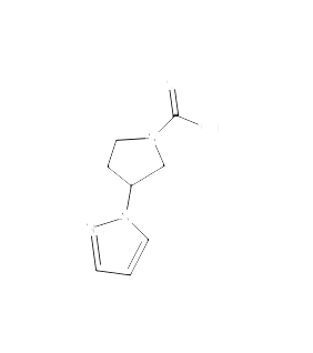 CC(=O)N1CCC(n2c[c]cn2)C1